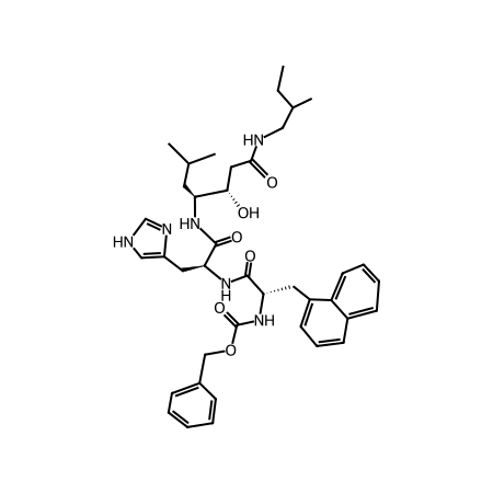 CCC(C)CNC(=O)C[C@H](O)[C@H](CC(C)C)NC(=O)[C@H](Cc1c[nH]cn1)NC(=O)[C@H](Cc1cccc2ccccc12)NC(=O)OCc1ccccc1